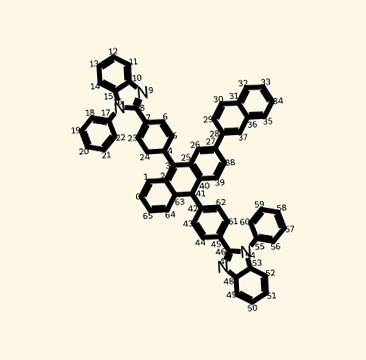 C1=CC2=C(C3C=CC(c4nc5ccccc5n4-c4ccccc4)=CC3)c3cc(-c4ccc5ccccc5c4)ccc3C(c3ccc(C4=NC5C=CC=CC5N4c4ccccc4)cc3)C2C=C1